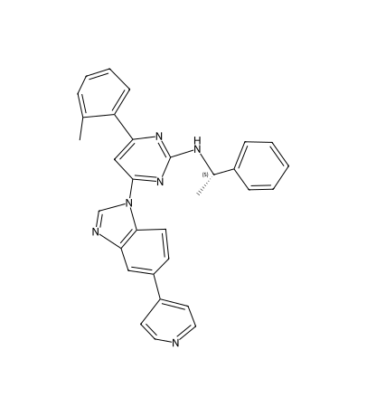 Cc1ccccc1-c1cc(-n2cnc3cc(-c4ccncc4)ccc32)nc(N[C@@H](C)c2ccccc2)n1